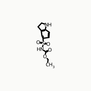 CCOC(=O)NS(=O)(=O)c1ccc2c(c1)CCN2